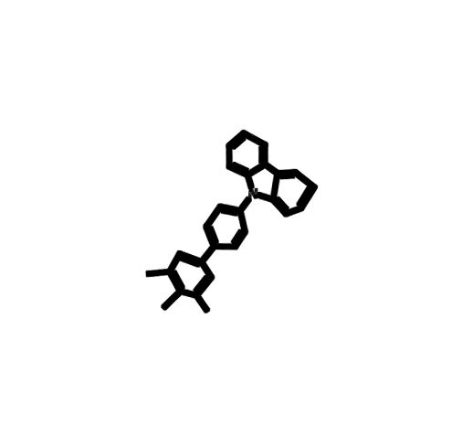 Cc1cc(-c2ccc(-n3c4ccccc4c4ccccc43)cc2)cc(C)c1C